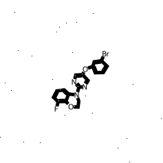 Fc1cccc2c1OCCN2c1ncc(Oc2cccc(Br)c2)cn1